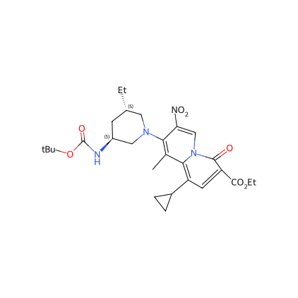 CCOC(=O)c1cc(C2CC2)c2c(C)c(N3C[C@@H](CC)C[C@H](NC(=O)OC(C)(C)C)C3)c([N+](=O)[O-])cn2c1=O